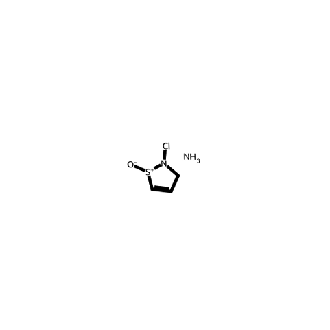 N.[O-][S+]1C=CCN1Cl